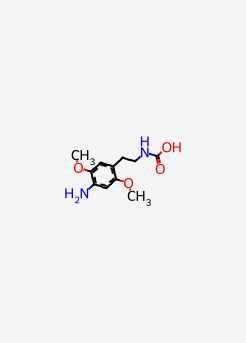 COc1cc(CCNC(=O)O)c(OC)cc1N